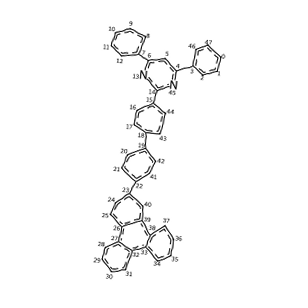 c1ccc(-c2cc(-c3ccccc3)nc(-c3ccc(-c4ccc(-c5ccc6c7ccccc7c7ccccc7c6c5)cc4)cc3)n2)cc1